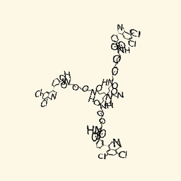 CN(C)CC(=O)NC(CCC(=O)NCCOCCOCCNS(=O)(=O)c1cccc([C@@H]2CN(C)Cc3c(Cl)cc(Cl)cc32)c1)(CCC(=O)NCCOCCOCCNS(=O)(=O)c1cccc([C@@H]2CN(C)Cc3c(Cl)cc(Cl)cc32)c1)CCC(=O)NCCOCCOCCNS(=O)(=O)c1cccc([C@@H]2CN(C)Cc3c(Cl)cc(Cl)cc32)c1